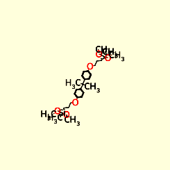 CO[Si](C)(CCCOc1ccc(C(C)(C)c2ccc(OCCC[Si](C)(OC)OC)cc2)cc1)OC